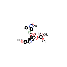 CN1C(=O)CN=C(c2ccccc2)c2cc(Cl)ccc21.COC(=O)[C@H]1[C@H]2C[C@@H]3c4[nH]c5cc(OC)ccc5c4CCN3C[C@H]2C[C@@H](OC(=O)c2cc(OC)c(OC)c(OC)c2)[C@@H]1OC